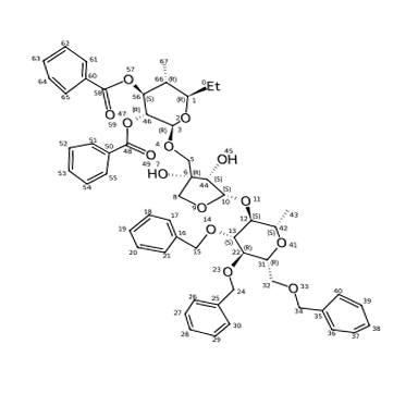 CC[C@H]1O[C@@H](OC[C@]2(O)CO[C@@H](O[C@@H]3[C@@H](OCc4ccccc4)[C@H](OCc4ccccc4)[C@@H](COCc4ccccc4)O[C@H]3C)[C@H]2O)[C@H](OC(=O)c2ccccc2)[C@@H](OC(=O)c2ccccc2)[C@@H]1C